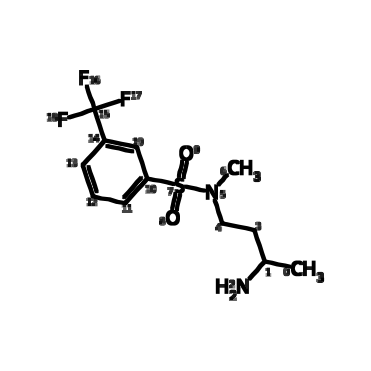 CC(N)CCN(C)S(=O)(=O)c1cccc(C(F)(F)F)c1